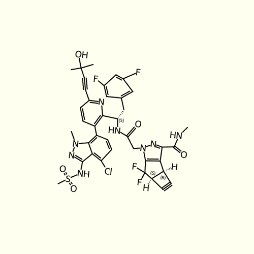 CNC(=O)c1nn(CC(=O)N[C@@H](Cc2cc(F)cc(F)c2)c2nc(C#CC(C)(C)O)ccc2-c2ccc(Cl)c3c(NS(C)(=O)=O)nn(C)c23)c2c1[C@H]1C#C[C@H]1C2(F)F